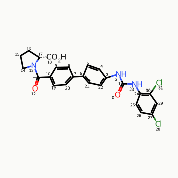 O=C(Nc1ccc(-c2ccc(C(=O)N3CCC[C@@H]3C(=O)O)cc2)cc1)Nc1ccc(Cl)cc1Cl